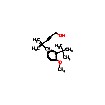 COc1ccccc1C(C)(C)C.C[Si](C)(C)C#CCO